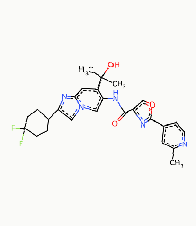 Cc1cc(-c2nc(C(=O)Nc3cn4cc(C5CCC(F)(F)CC5)nc4cc3C(C)(C)O)co2)ccn1